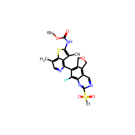 CCS(=O)(=O)c1ncc2c3c(c(-c4ncc(C)c5sc(NC(=O)OC(C)(C)C)c(C#N)c45)c(F)c2n1)COC3